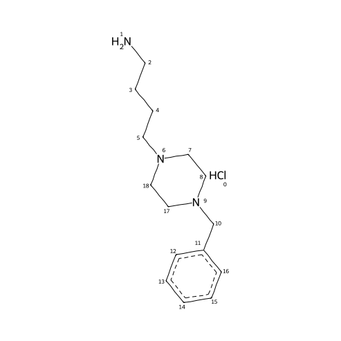 Cl.NCCCCN1CCN(Cc2ccccc2)CC1